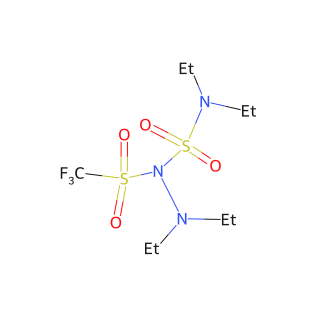 CCN(CC)N(S(=O)(=O)N(CC)CC)S(=O)(=O)C(F)(F)F